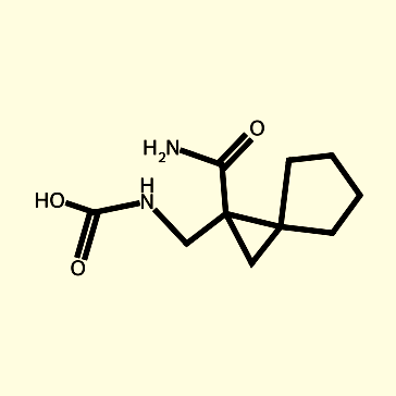 NC(=O)C1(CNC(=O)O)CC12CCCC2